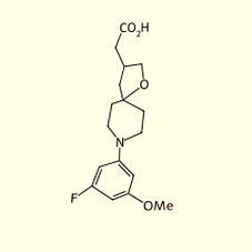 COc1cc(F)cc(N2CCC3(CC2)CC(CC(=O)O)CO3)c1